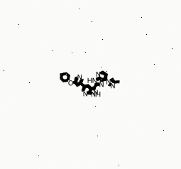 Cc1cn(-c2ccnc3[nH]c(-c4n[nH]c5ncc(-c6cncc(OC7CCCCC7)c6)cc45)nc23)cn1